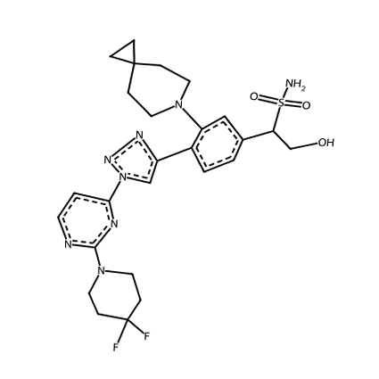 NS(=O)(=O)C(CO)c1ccc(-c2cn(-c3ccnc(N4CCC(F)(F)CC4)n3)nn2)c(N2CCC3(CC2)CC3)c1